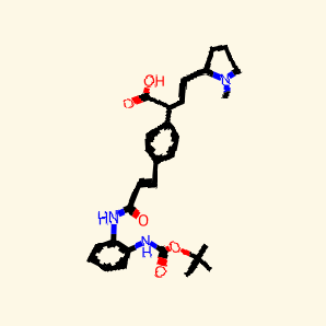 CN1CCCC1CCC(C(=O)O)c1ccc(/C=C/C(=O)Nc2ccccc2NC(=O)OC(C)(C)C)cc1